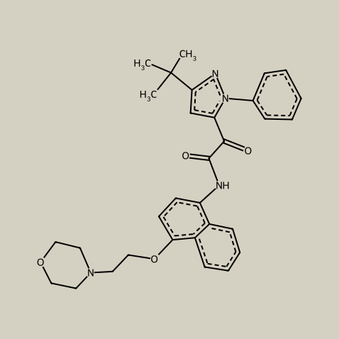 CC(C)(C)c1cc(C(=O)C(=O)Nc2ccc(OCCN3CCOCC3)c3ccccc23)n(-c2ccccc2)n1